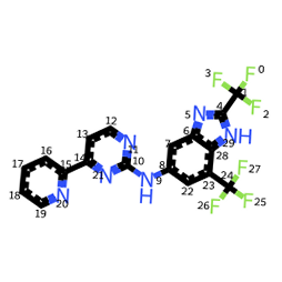 FC(F)(F)c1nc2cc(Nc3nccc(-c4ccccn4)n3)cc(C(F)(F)F)c2[nH]1